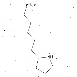 CCCCCCCCCCCC1CCCN1